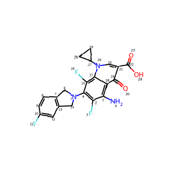 Nc1c(F)c(N2Cc3ccc(F)cc3C2)c(F)c2c1c(=O)c(C(=O)O)cn2C1CC1